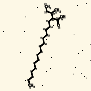 CCCCCCCCCCCCCCCCC(C(=O)O)C(C)CC